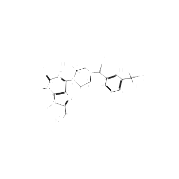 CCn1c(CC#N)nc2c(N3C[C@@H](C)N(C(C)c4cccc(C(C)(C)O)c4)C[C@@H]3C)nc(=O)n(C)c21